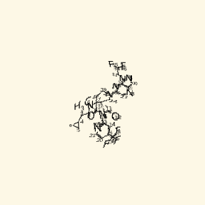 CN(CCC1CC1)C1(C(=O)N(C=O)c2cc(C(F)(F)F)ccn2)CCN(c2cnc3cnn(CC(F)F)c3n2)CC1